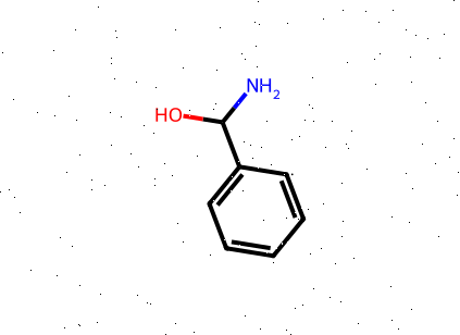 NC(O)c1[c]cccc1